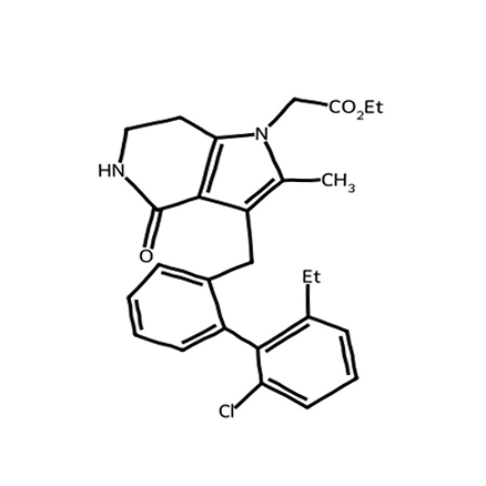 CCOC(=O)Cn1c(C)c(Cc2ccccc2-c2c(Cl)cccc2CC)c2c1CCNC2=O